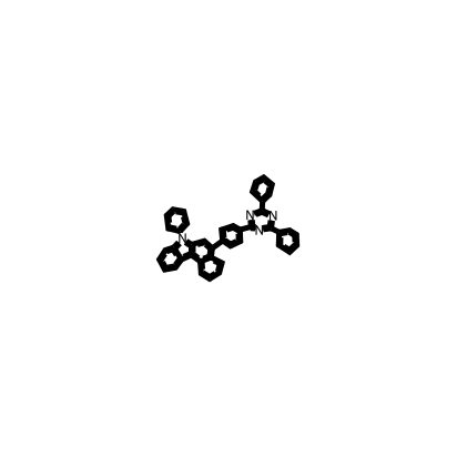 c1ccc(-c2nc(-c3ccccc3)nc(-c3ccc(-c4cc5c(c6ccccc46)c4ccccc4n5-c4ccccc4)cc3)n2)cc1